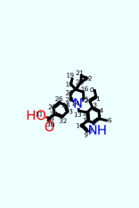 C/C=C/c1cc(C)c2[nH]ccc2c1CN1CCC(CC)(C2CC2)C[C@H]1c1ccc(C(=O)O)cc1